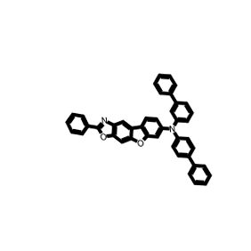 c1ccc(-c2ccc(N(c3cccc(-c4ccccc4)c3)c3ccc4c(c3)oc3cc5oc(-c6ccccc6)nc5cc34)cc2)cc1